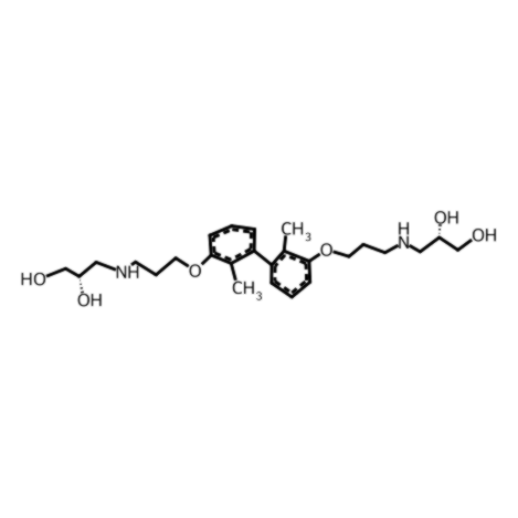 Cc1c(OCCCNC[C@H](O)CO)cccc1-c1cccc(OCCCNC[C@H](O)CO)c1C